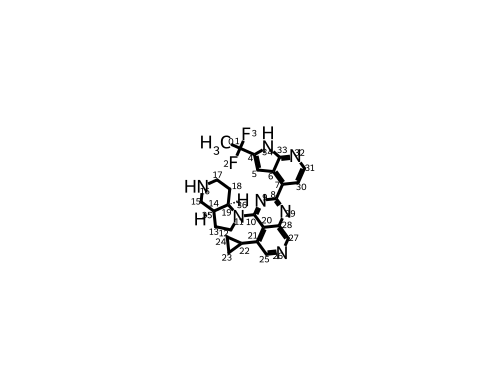 CC(F)(F)c1cc2c(-c3nc(N4CC[C@H]5CNCC[C@H]54)c4c(C5CC5)cncc4n3)ccnc2[nH]1